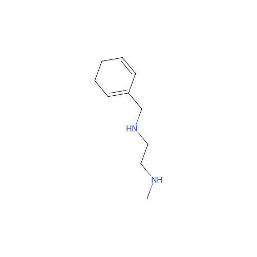 CNCCNCC1=CCCC=C1